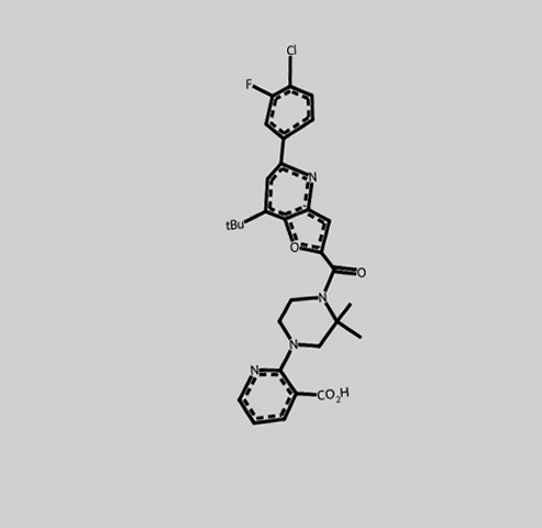 CC(C)(C)c1cc(-c2ccc(Cl)c(F)c2)nc2cc(C(=O)N3CCN(c4ncccc4C(=O)O)CC3(C)C)oc12